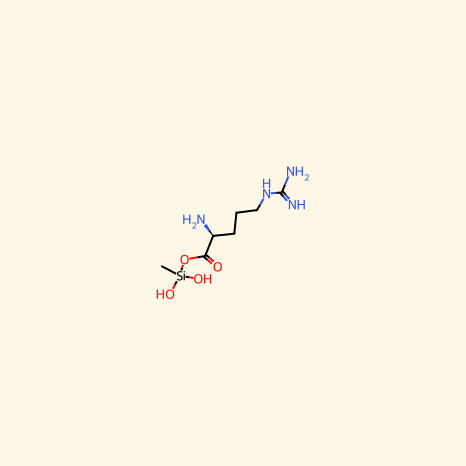 C[Si](O)(O)OC(=O)[C@@H](N)CCCNC(=N)N